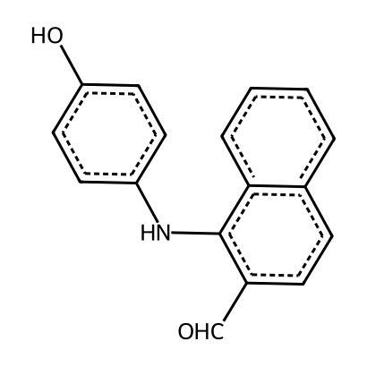 O=Cc1ccc2ccccc2c1Nc1ccc(O)cc1